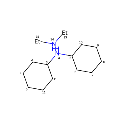 C1CCC(NC2CCCCC2)CC1.CCNCC